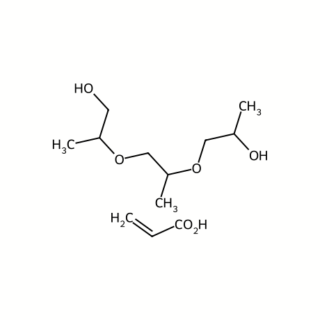 C=CC(=O)O.CC(O)COC(C)COC(C)CO